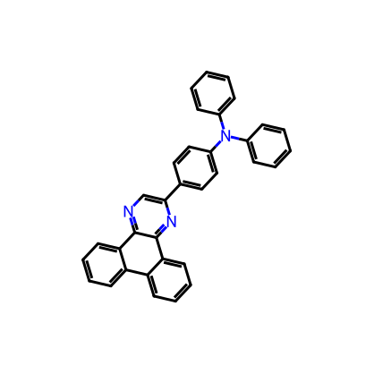 c1ccc(N(c2ccccc2)c2ccc(-c3cnc4c5ccccc5c5ccccc5c4n3)cc2)cc1